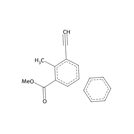 C#Cc1cccc(C(=O)OC)c1C.c1ccccc1